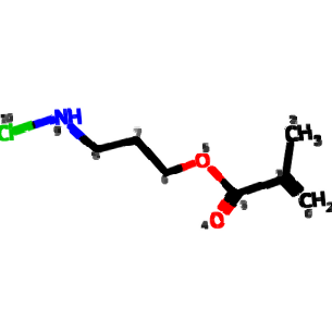 C=C(C)C(=O)OCCCNCl